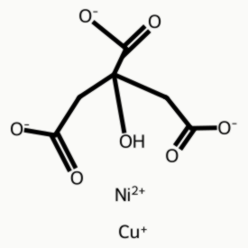 O=C([O-])CC(O)(CC(=O)[O-])C(=O)[O-].[Cu+].[Ni+2]